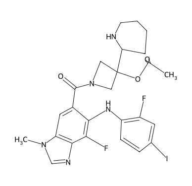 CC(=O)OC1(C2CCCCN2)CN(C(=O)c2cc3c(ncn3C)c(F)c2Nc2ccc(I)cc2F)C1